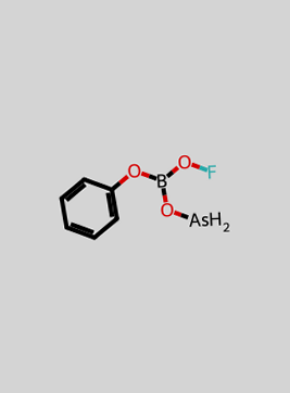 FOB(O[AsH2])Oc1ccccc1